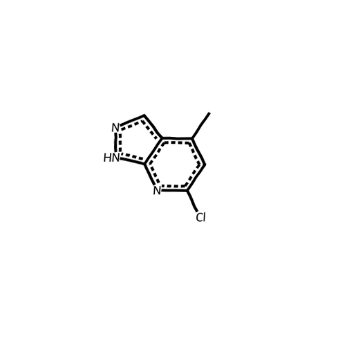 Cc1cc(Cl)nc2[nH]ncc12